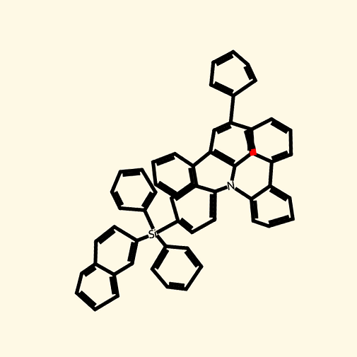 c1ccc(-c2ccc(N(c3ccc([Si](c4ccccc4)(c4ccccc4)c4ccc5ccccc5c4)cc3)c3ccccc3-c3ccccc3)c(-c3ccccc3)c2)cc1